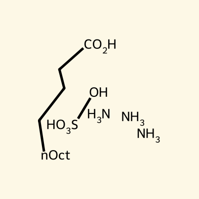 CCCCCCCCCCCC(=O)O.N.N.N.O=S(=O)(O)O